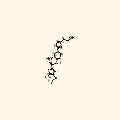 CCc1[nH]c(C(=O)N[C@@H]2CCN(c3nnc(CCO)s3)C[C@@H]2O)nc1Cl